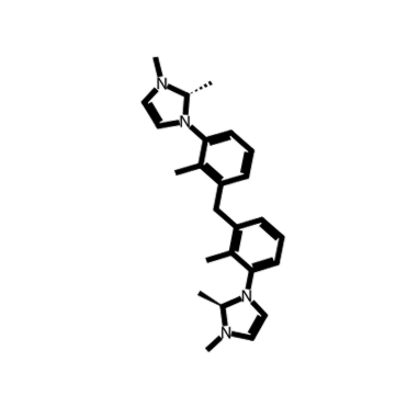 Cc1c(Cc2cccc(N3C=CN(C)[C@@H]3C)c2C)cccc1N1C=CN(C)[C@H]1C